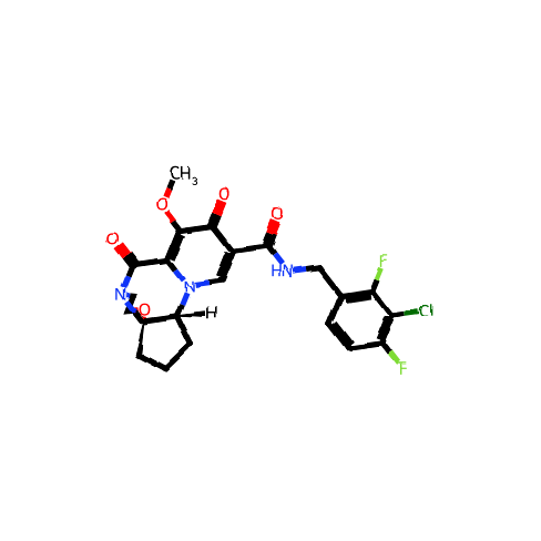 COc1c2n(cc(C(=O)NCc3ccc(F)c(Cl)c3F)c1=O)[C@@H]1CCC[C@@]13OCCN3C2=O